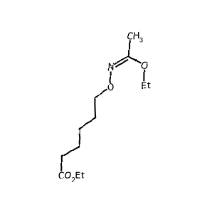 CCOC(=O)CCCCCO/N=C(/C)OCC